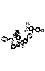 CC1(C)CCC(c2ccc(Cl)cc2)=C(CN2CCN(c3ccc(C(=O)N(C(C)(C)C)S(=O)(=O)c4ccc(S(=O)(=O)C(F)(F)F)c(N([C@H](CCN5CCOCC5)CSc5ccccc5)C(C)(C)C)c4)cc3)CC2)C1